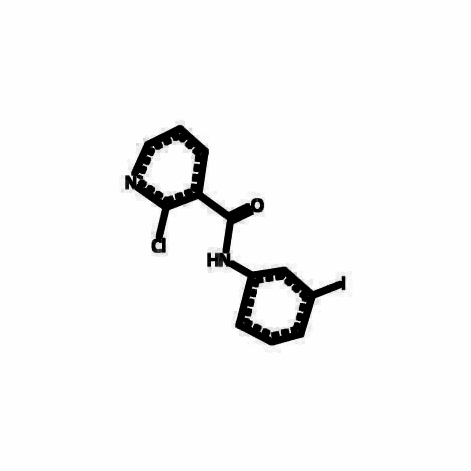 O=C(Nc1cccc(I)c1)c1cccnc1Cl